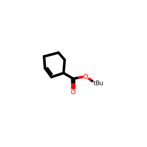 CC(C)(C)OC(=O)C1C=CCCC1